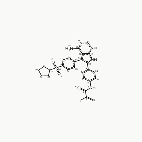 C=C(C)C(=O)Nc1ccc(-c2[nH]c3ncnc(N)c3c2-c2ccc(S(=O)(=O)C3CCCC3)cc2)cc1